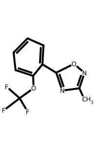 Cc1noc(-c2ccccc2OC(F)(F)F)n1